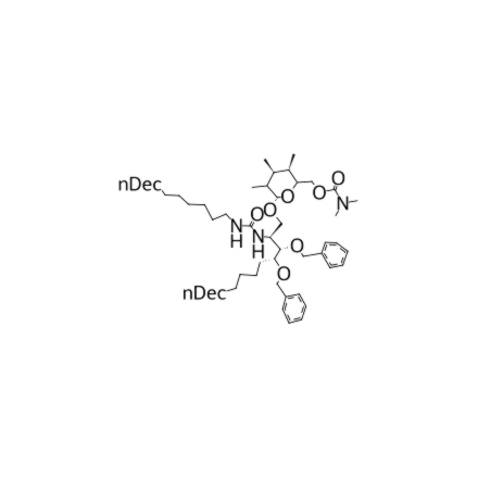 CCCCCCCCCCCCCCCCNC(=O)N[C@@H](CO[C@H]1OC(COC(=O)N(C)C)[C@H](C)[C@H](C)C1C)[C@H](OCc1ccccc1)[C@@H](CCCCCCCCCCCCCC)OCc1ccccc1